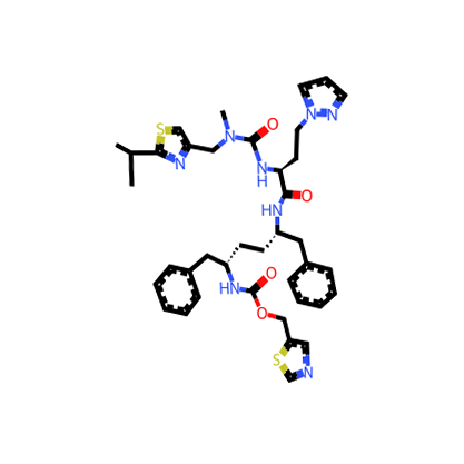 CC(C)c1nc(CN(C)C(=O)N[C@@H](CCn2cccn2)C(=O)N[C@@H](CC[C@@H](Cc2ccccc2)NC(=O)OCc2cncs2)Cc2ccccc2)cs1